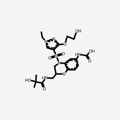 CCn1cc(S(=O)(=O)N2CC(CNC(=O)C(C)(C)O)Oc3ccc(NC(=O)O)cc32)c(OCCO)n1